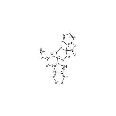 CN(C)C1(c2ccccc2)CCC2(CC1)OC(CO)Cc1c2[nH]c2ccccc12